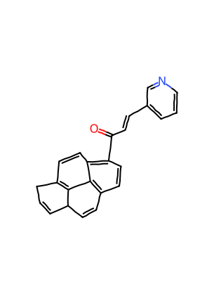 O=C(/C=C/c1cccnc1)c1ccc2c3c4c(ccc13)CC=CC4C=C2